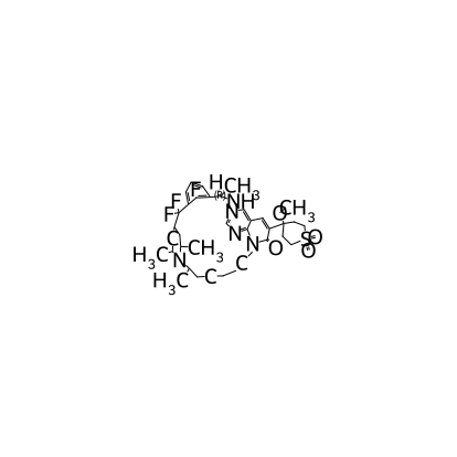 COC1(c2cc3c4ncnc3n(c2=O)CCCCCCC(C)N2C(C)CC(CC2C)C(F)(F)c2cccc(c2F)[C@@H](C)N4)CCS(=O)(=O)CC1